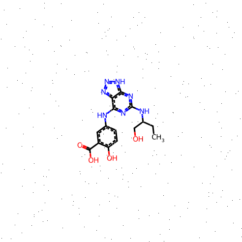 CCC(CO)Nc1nc(Nc2ccc(O)c(C(=O)O)c2)c2nn[nH]c2n1